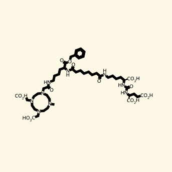 CN1CCN(CC(=O)O)CCN(CC(=O)O)CCN(CC(=O)NCCCCC(NC(=O)CCCCCCC(=O)NCCCC[C@H](NC(=O)N[C@@H](CCC(=O)O)C(=O)O)C(=O)O)C(=O)OCc2ccccc2)CC1